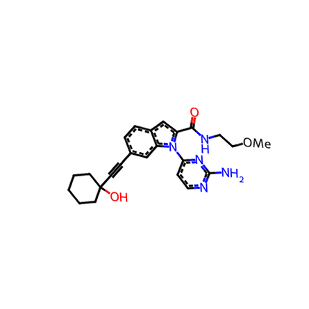 COCCNC(=O)c1cc2ccc(C#CC3(O)CCCCC3)cc2n1-c1ccnc(N)n1